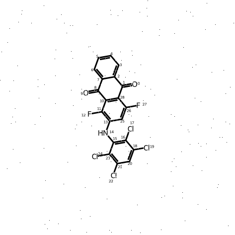 O=C1c2ccccc2C(=O)c2c(F)c(Nc3c(Cl)c(Cl)cc(Cl)c3Cl)cc(F)c21